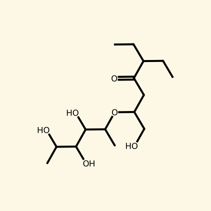 CCC(CC)C(=O)CC(CO)OC(C)C(O)C(O)C(C)O